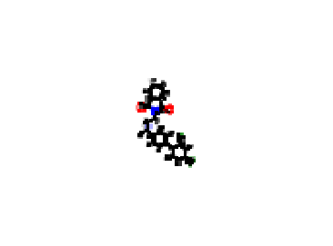 C/C(=C/CN1C(=O)c2ccccc2C1=O)c1ccc(-c2ccc(F)cc2F)cc1